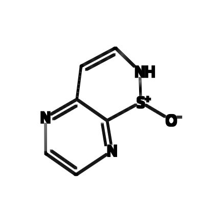 [O-][S+]1NC=Cc2nccnc21